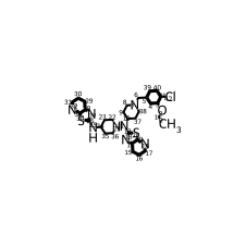 CCOc1cc(CN2CCC(N(c3nc4cccnc4s3)N3CCC(Nc4nc5cccnc5s4)CC3)CC2)ccc1Cl